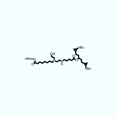 CCCCCCCCCOC(=O)CCCCCCCN(CCO)CCNCCCCC(=O)OC(CCC1CC1CCCC)CCC1CC1CCCC